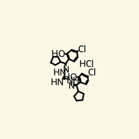 Cl.N=C(NN=C(c1ccc(Cl)cc1O)C1CCCC1)NN=C(c1ccc(Cl)cc1O)C1CCCC1